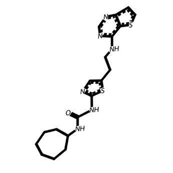 O=C(Nc1ncc(CCNc2ncnc3ccsc23)s1)NC1CCCCCC1